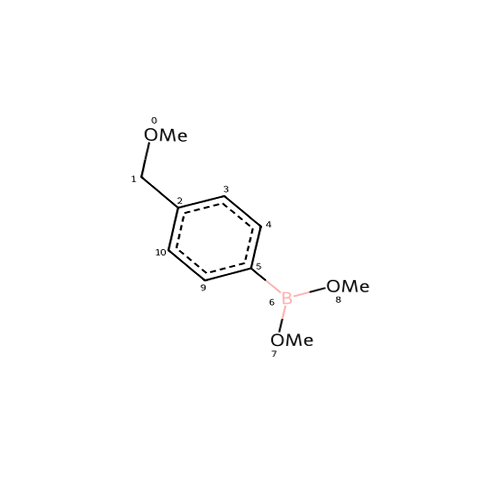 COCc1ccc(B(OC)OC)cc1